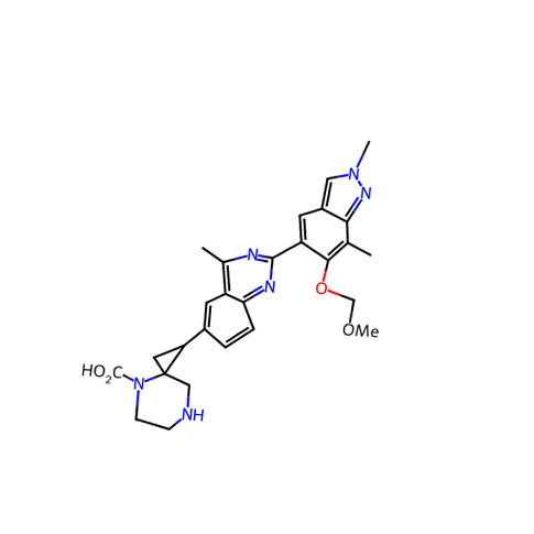 COCOc1c(-c2nc(C)c3cc(C4CC45CNCCN5C(=O)O)ccc3n2)cc2cn(C)nc2c1C